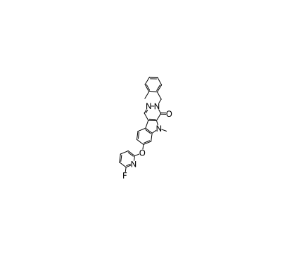 Cc1ccccc1Cn1ncc2c3ccc(Oc4cccc(F)n4)cc3n(C)c2c1=O